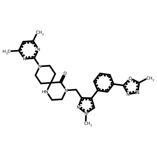 Cc1cc(C)nc(N2CCC3(CC2)NCCN(Cc2nn(C)cc2-c2cccc(-c4nnc(C)o4)c2)C3=O)n1